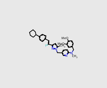 COc1ccc(CN(C)c2ccc(Cn3nc(C(F)=Cc4ccc(C5CCCCC5)cc4)cc3C)cn2)cc1OC